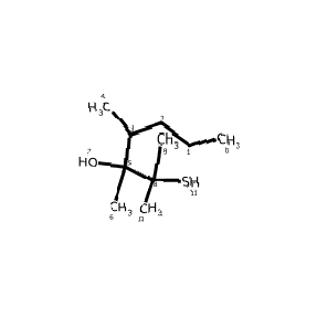 CCCC(C)C(C)(O)C(C)(C)S